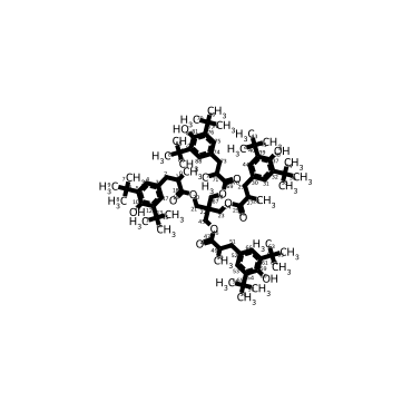 CC(Cc1cc(C(C)(C)C)c(O)c(C(C)(C)C)c1)C(=O)OCC(COC(=O)C(C)Cc1cc(C(C)(C)C)c(O)c(C(C)(C)C)c1)(COC(=O)C(C)Cc1cc(C(C)(C)C)c(O)c(C(C)(C)C)c1)COC(=O)C(C)Cc1cc(C(C)(C)C)c(O)c(C(C)(C)C)c1